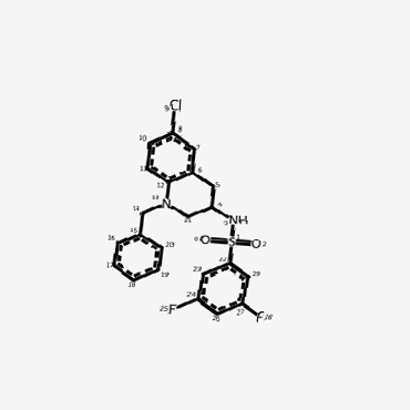 O=S(=O)(NC1Cc2cc(Cl)ccc2N(Cc2ccccc2)C1)c1cc(F)cc(F)c1